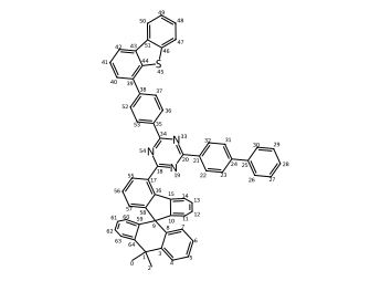 CC1(C)c2ccccc2C2(c3ccccc3-c3c(-c4nc(-c5ccc(-c6ccccc6)cc5)nc(-c5ccc(-c6cccc7c6sc6ccccc67)cc5)n4)cccc32)c2ccccc21